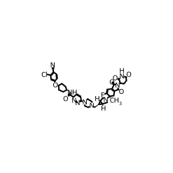 CC1(N2C[C@@H]3[C@@H](CN4CCN(c5ccc(C(=O)N[C@H]6CC[C@H](Oc7ccc(C#N)c(Cl)c7)CC6)nn5)CC4)[C@@H]3C2)CC2=C(C=C1F)C(=O)N(C1CCC(=O)NC1=O)C2=O